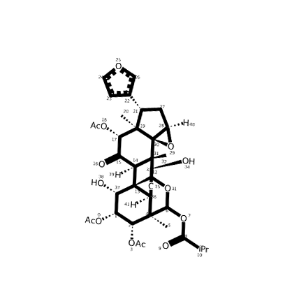 CC(=O)O[C@H]1[C@@H](OC(C)=O)[C@]2(C)C(OC(=O)C(C)C)OC[C@]3([C@H]4C(=O)[C@H](OC(C)=O)[C@@]5(C)[C@H](c6ccoc6)C[C@H]6O[C@]65[C@]4(C)[C@H](O)C[C@@H]23)[C@H]1O